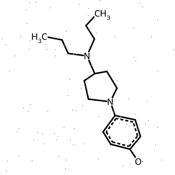 CCCN(CCC)C1CCN(c2ccc([O])cc2)CC1